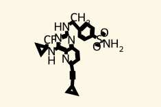 C[C@@H](Nc1nc(NC2(C(F)(F)F)CC2)c2nc(C#CC3CC3)ccc2n1)c1ccc(S(N)(=O)=O)cc1